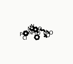 CC1(C)CN(CCOc2cc3ncnc(Nc4ccc(F)c(Cl)c4)c3cc2OC2CCCCC2)CC(=O)O1